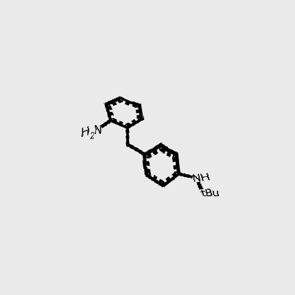 CC(C)(C)Nc1ccc(Cc2ccccc2N)cc1